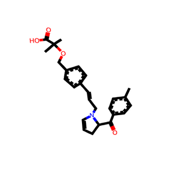 Cc1ccc(C(=O)C2CC=CN2C/C=C/c2ccc(COC(C)(C)C(=O)O)cc2)cc1